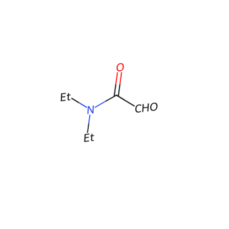 CCN(CC)C(=O)C=O